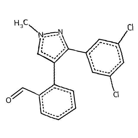 Cn1cc(-c2ccccc2C=O)c(-c2cc(Cl)cc(Cl)c2)n1